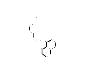 POC/C=C\COP1Oc2cccc3cccc(c23)O1